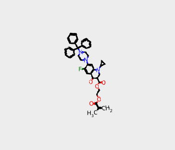 C=C(C)C(=O)OCCOC(=O)C1CN(C2CC2)c2cc(N3CCN(C(c4ccccc4)(c4ccccc4)c4ccccc4)CC3)c(F)cc2C1=O